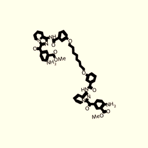 COC(=O)c1cc(C(=O)c2nc(NC(=O)c3cccc(OCCCCCCCCOc4cccc(C(=O)Nc5nc(C(=O)c6ccc(N)c(C(=O)OC)c6)n6ccccc56)c4)c3)c3ccccn23)ccc1N